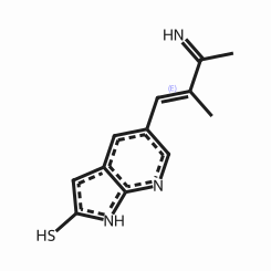 CC(=N)/C(C)=C/c1cnc2[nH]c(S)cc2c1